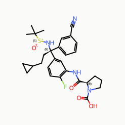 CC(C)(C)[S@@+]([O-])N[C@](CCC1CC1)(c1cccc(C#N)c1)c1ccc(F)c(NC(=O)[C@H]2CCCN2C(=O)O)c1